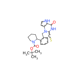 CC(C)(C)OC(=O)N1CCCCC1c1ccccc1CN1C(=C=S)NC(=O)c2[nH]ccc21